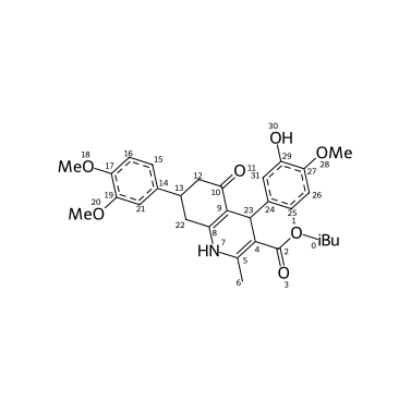 CCC(C)OC(=O)C1=C(C)NC2=C(C(=O)CC(c3ccc(OC)c(OC)c3)C2)C1c1ccc(OC)c(O)c1